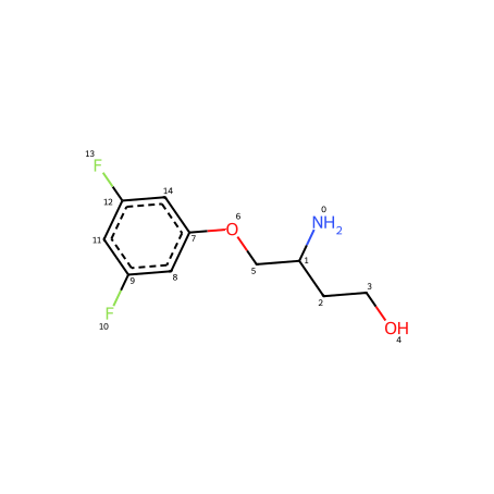 NC(CCO)COc1cc(F)cc(F)c1